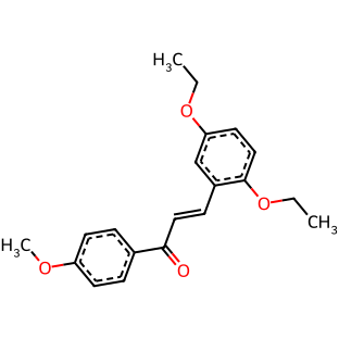 CCOc1ccc(OCC)c(/C=C/C(=O)c2ccc(OC)cc2)c1